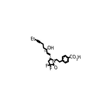 CCC#CCC[C@H](O)C=C[C@H]1CC(F)(F)C(=O)N1CCc1ccc(C(=O)O)cc1